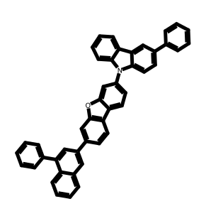 c1ccc(-c2ccc3c(c2)c2ccccc2n3-c2ccc3c(c2)oc2cc(-c4cc(-c5ccccc5)c5ccccc5c4)ccc23)cc1